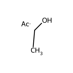 CCO.[Ac]